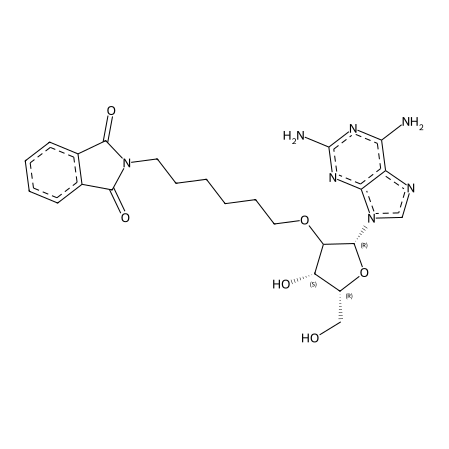 Nc1nc(N)c2ncn([C@@H]3O[C@H](CO)[C@H](O)C3OCCCCCCN3C(=O)c4ccccc4C3=O)c2n1